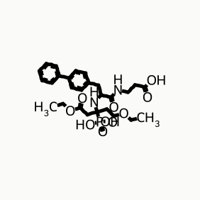 CCOC(=O)CC(CC(=O)OCC)(NC(Cc1ccc(-c2ccccc2)cc1)C(=O)NCCC(=O)O)P(=O)(O)O